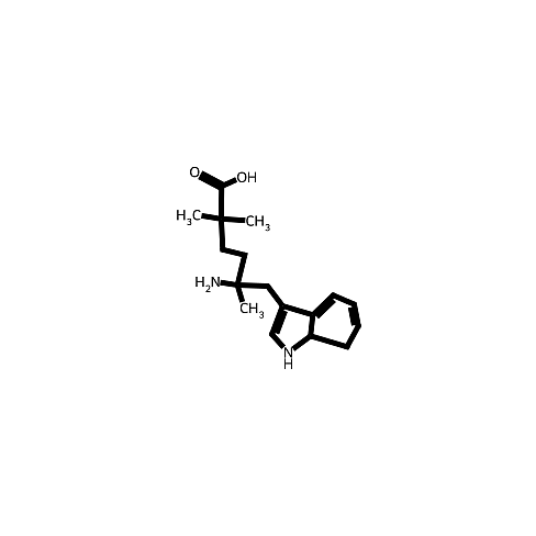 CC(N)(CCC(C)(C)C(=O)O)CC1=CNC2CC=CC=C12